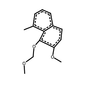 COCOc1c(OC)ccc2cccc(C)c12